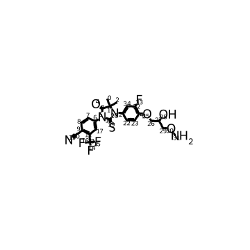 CC1(C)C(=O)N(c2ccc(C#N)c(C(F)(F)F)c2)C(=S)N1c1ccc(OCC(O)CON)c(F)c1